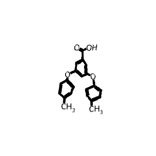 Cc1ccc(Oc2cc(Oc3ccc(C)cc3)cc(C(=O)O)c2)cc1